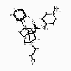 NC1CCC(NC(=O)C23CC4C[C@@](CCCl)(C2)C[C@](c2ccccc2)(C4)C3)CC1